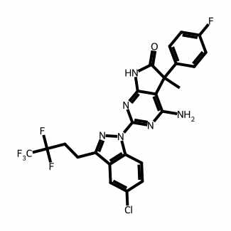 CC1(c2ccc(F)cc2)C(=O)Nc2nc(-n3nc(CCC(F)(F)C(F)(F)F)c4cc(Cl)ccc43)nc(N)c21